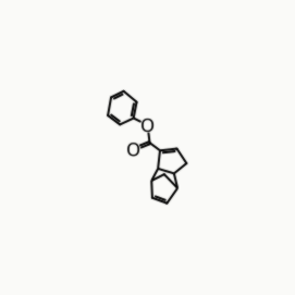 O=C(Oc1ccccc1)C1=CCC2C3C=CC(C3)C12